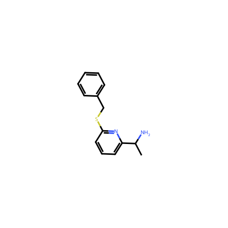 CC(N)c1cccc(SCc2ccccc2)n1